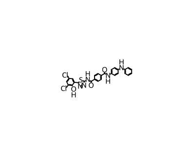 O=C(Nc1ccc(Nc2ccccc2)cc1)c1ccc(C(=O)Nc2nnc(-c3cc(Cl)cc(Cl)c3O)s2)cc1